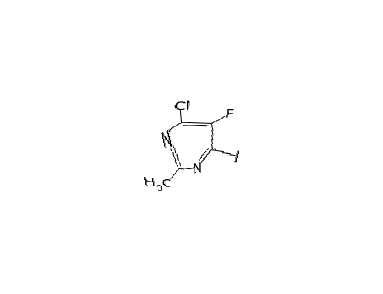 Cc1nc(Cl)c(F)c(I)n1